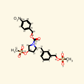 CS(=O)(=O)OCc1cccc(C[C@@H]2C[C@@H](OS(C)(=O)=O)CN2C(=O)OCc2ccc([N+](=O)[O-])cc2)c1